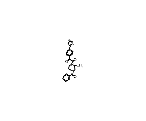 CC1CN(C(=O)c2ccccc2)CCN1C(=O)C(=O)c1ccc(-n2cncn2)cc1